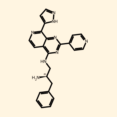 N[C@@H](CNc1nc(-c2ccncc2)nc2c(-c3ccn[nH]3)nccc12)Cc1ccccc1